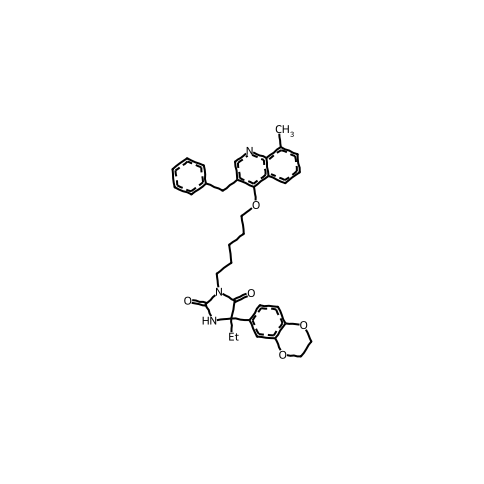 CCC1(c2ccc3c(c2)OCCO3)NC(=O)N(CCCCCOc2c(Cc3ccccc3)cnc3c(C)cccc23)C1=O